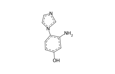 Nc1cc(O)ccc1-n1ccnc1